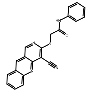 N#Cc1c(SCC(=O)Nc2ccccc2)ncc2cc3ccccc3nc12